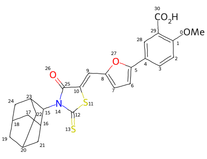 COc1ccc(-c2ccc(C=C3SC(=S)N(C4C5CC6CC(C5)CC4C6)C3=O)o2)cc1C(=O)O